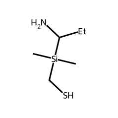 CCC(N)[Si](C)(C)CS